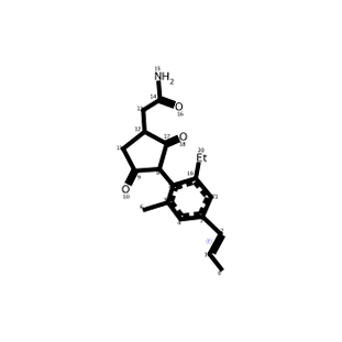 C/C=C/c1cc(C)c(C2C(=O)CC(CC(N)=O)C2=O)c(CC)c1